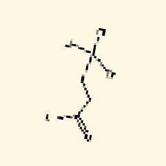 O=C(Cl)CCC(Cl)(Cl)Br